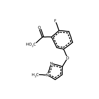 Cn1ccc(Oc2ccc(F)c(C(=O)C(=O)O)c2)n1